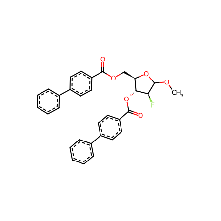 COC1O[C@H](COC(=O)c2ccc(-c3ccccc3)cc2)[C@@H](OC(=O)c2ccc(-c3ccccc3)cc2)[C@@H]1F